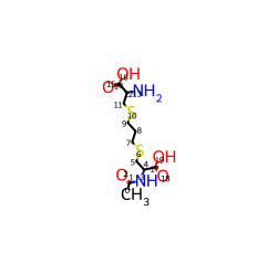 CC(=O)NC(CSCCCSCC(N)C(=O)O)C(=O)O